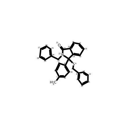 Cc1ccc(C2(SCc3ccccc3)c3ccccc3C(=O)N2Cc2ccccc2)cc1